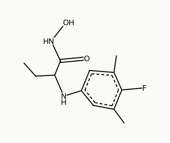 CCC(Nc1cc(C)c(F)c(C)c1)C(=O)NO